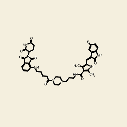 Cc1[nH]c(C=C2C(=O)Nc3ccc(F)cc32)c(C)c1C(=O)NCCCN1CCN(C(=O)CCCCNc2cccc3c2C(=O)N(C2CCC(=O)NC2=O)C3=O)CC1